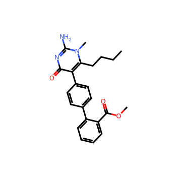 CCCCc1c(-c2ccc(-c3ccccc3C(=O)OC)cc2)c(=O)nc(N)n1C